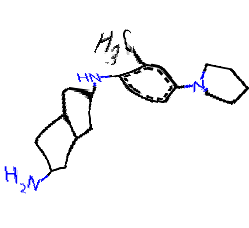 Cc1cc(N2CCCCC2)ccc1NC1CC2CC(N)CC2C1